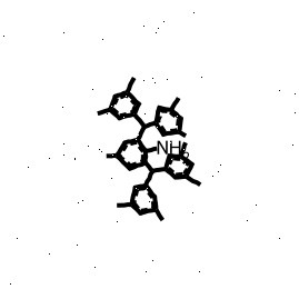 Cc1cc(C)cc(C(c2cc(C)cc(C)c2)c2cc(C)cc(C(c3cc(C)cc(C)c3)c3cc(C)cc(C)c3)c2N)c1